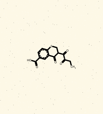 CCC(=O)C(=O)C1CSc2ccc(C(=O)O)cc2C1=O